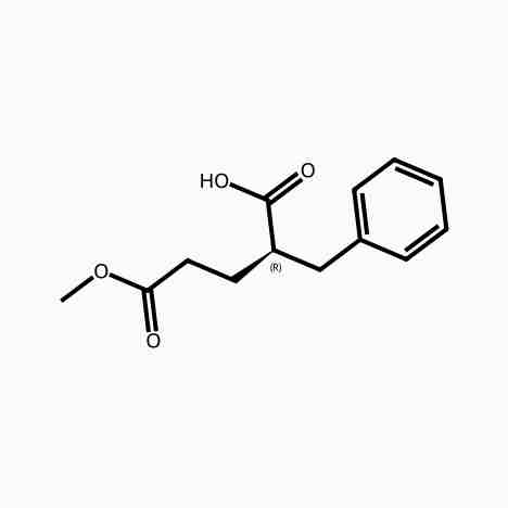 COC(=O)CC[C@H](Cc1ccccc1)C(=O)O